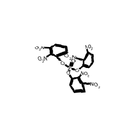 O=[N+]([O-])c1cccc(OP(=O)(Oc2cccc([N+](=O)[O-])c2[N+](=O)[O-])Oc2cccc([N+](=O)[O-])c2[N+](=O)[O-])c1[N+](=O)[O-]